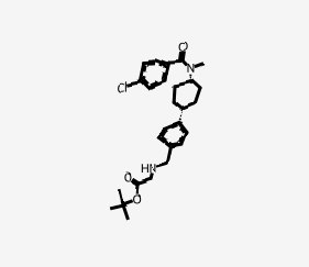 CN(C(=O)c1ccc(Cl)cc1)[C@H]1CC[C@@H](c2ccc(CNCC(=O)OC(C)(C)C)cc2)CC1